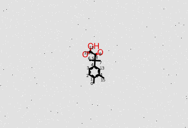 Cc1ccc(C(C)(C)C(=O)C(=O)O)cc1C